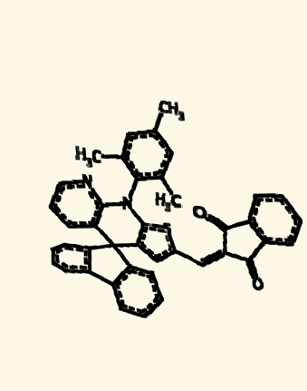 Cc1cc(C)c(N2c3ncccc3C3(c4ccccc4-c4ccccc43)c3cc(C=C4C(=O)c5ccccc5C4=O)sc32)c(C)c1